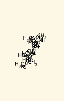 Cc1ncsc1-c1ccc(C2(C)NC(C3C[C@@H](O)CN3C(=O)C(c3cc(OCCN4CC[C@H](NC(=O)c5c(CS(C)(=O)=O)cc6cn(C)c7c6c5C5=CN(c6ncc(F)cc6F)CC=C5NC7=O)C4)no3)C(C)C)=NC2=O)cc1